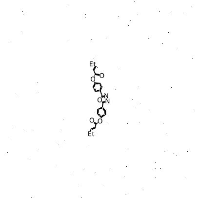 CCC=CC(=O)Oc1ccc(-c2nnc(-c3ccc(OC(=O)C=CCC)cc3)o2)cc1